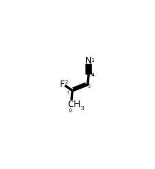 CC(F)=CC#N